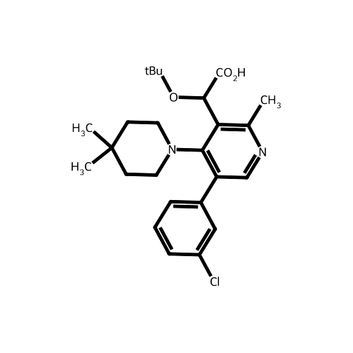 Cc1ncc(-c2cccc(Cl)c2)c(N2CCC(C)(C)CC2)c1C(OC(C)(C)C)C(=O)O